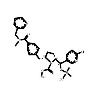 CN(Cc1cccnc1)C(=O)c1ccc(C[C@@H]2CC[C@H]([C@H](O[Si](C)(C)C(C)(C)C)c3ccc(Cl)nc3)N2C(=O)OC(C)(C)C)cc1